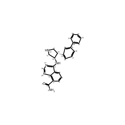 NC(=O)c1cccc2c(N[C@H]3CNC[C@@H]3c3cccc(-c4ccccc4)c3)ncnc12